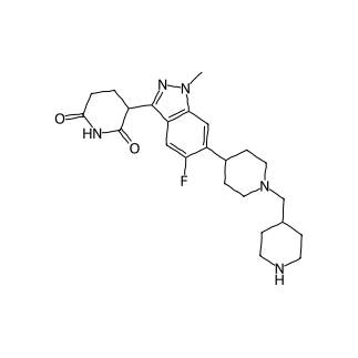 Cn1nc(C2CCC(=O)NC2=O)c2cc(F)c(C3CCN(CC4CCNCC4)CC3)cc21